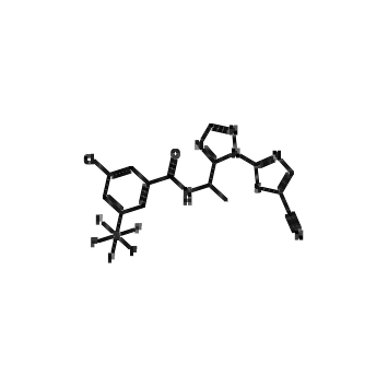 CC(NC(=O)c1cc(Cl)cc(S(F)(F)(F)(F)F)c1)c1ncnn1-c1ncc(C#N)s1